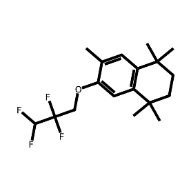 Cc1cc2c(cc1OCC(F)(F)C(F)F)C(C)(C)CCC2(C)C